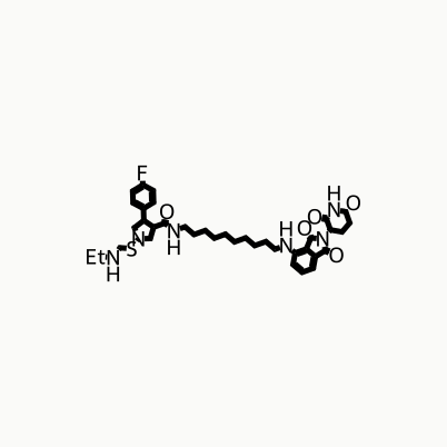 CCNCSN1CC(C(=O)NCCCCCCCCCCNc2cccc3c2C(=O)N(C2CCC(=O)NC2=O)C3=O)C(c2ccc(F)cc2)C1